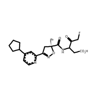 CC(C)[C@@]1(C(=O)NC(CC(=O)O)C(=O)CF)CC(c2cc(C3CCCC3)ccn2)=NO1